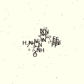 C[C@H]1C(=O)Nc2nc(-c3cn4ncnc4c(CCC(F)(F)C(F)(F)F)n3)nc(N)c21